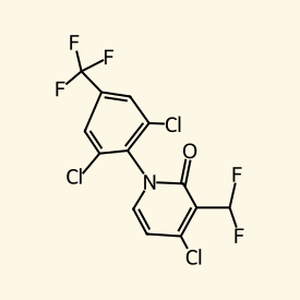 O=c1c(C(F)F)c(Cl)ccn1-c1c(Cl)cc(C(F)(F)F)cc1Cl